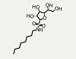 CCCCCCCCNS(=O)(=O)[C@@H]1O[C@H]([C@@H](O)CO)[C@H](O)[C@H]1O